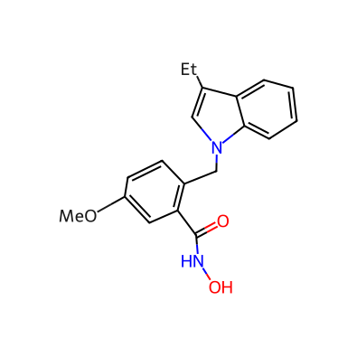 CCc1cn(Cc2ccc(OC)cc2C(=O)NO)c2ccccc12